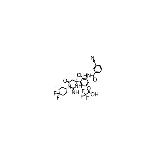 C[C@@H]1C[C@H](N2C(=N)N[C@](C)(c3cccc(NC(=O)c4cccc(C#N)c4)c3Cl)CC2=O)CCC1(F)F.O=C(O)C(F)(F)F